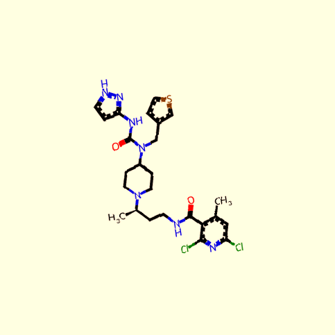 Cc1cc(Cl)nc(Cl)c1C(=O)NCC[C@@H](C)N1CCC(N(Cc2ccsc2)C(=O)Nc2cc[nH]n2)CC1